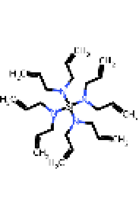 C=CCN(CC=C)[Si](N(CC=C)CC=C)(N(CC=C)CC=C)N(CC=C)CC=C